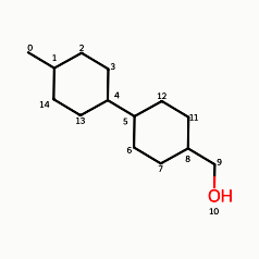 CC1CCC(C2CCC(CO)CC2)CC1